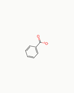 O=C([5O])c1ccccc1